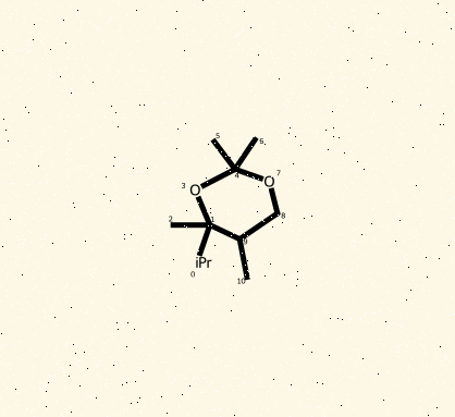 CC(C)C1(C)OC(C)(C)OCC1C